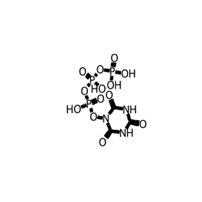 O=c1[nH]c(=O)n(OP(=O)(O)OP(=O)(O)OP(=O)(O)O)c(=O)[nH]1